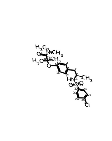 C[C@H](Cc1ccc(OC(C)(C)C(=O)N(C)C)cc1)NS(=O)(=O)c1ccc(Cl)cc1